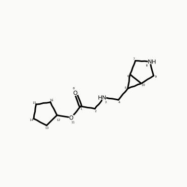 O=C(CNCC1C2CNCC12)OC1CCCC1